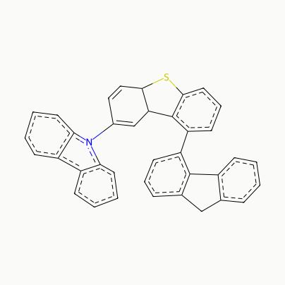 C1=CC2Sc3cccc(-c4cccc5c4-c4ccccc4C5)c3C2C=C1n1c2ccccc2c2ccccc21